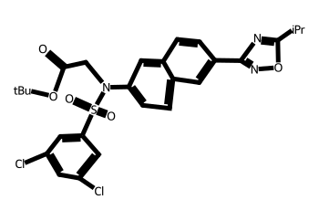 CC(C)c1nc(-c2ccc3cc(N(CC(=O)OC(C)(C)C)S(=O)(=O)c4cc(Cl)cc(Cl)c4)ccc3c2)no1